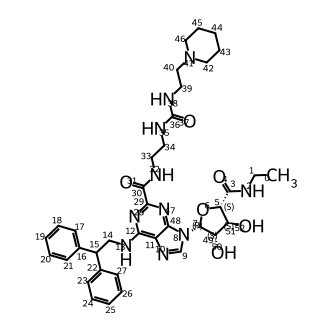 CCNC(=O)[C@H]1O[C@@H](n2cnc3c(NCC(c4ccccc4)c4ccccc4)nc(C(=O)NCCNC(=O)NCCN4CCCCC4)nc32)[C@@H](O)[C@@H]1O